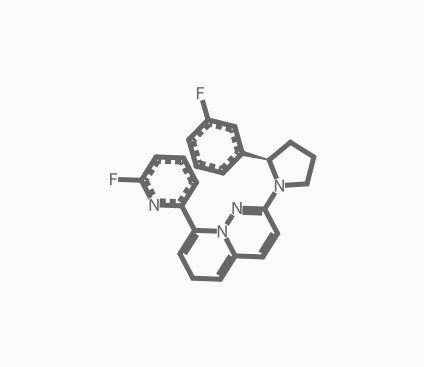 Fc1cccc([C@H]2CCCN2C2=NN3C(=CCC=C3c3cccc(F)n3)C=C2)c1